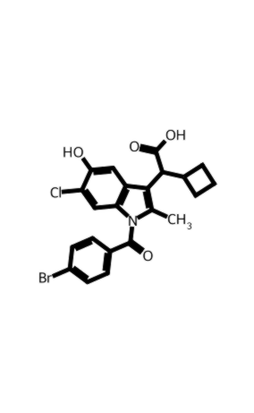 Cc1c(C(C(=O)O)C2CCC2)c2cc(O)c(Cl)cc2n1C(=O)c1ccc(Br)cc1